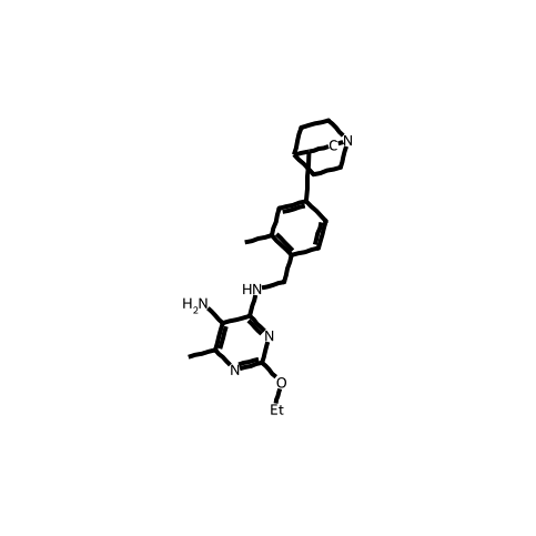 CCOc1nc(C)c(N)c(NCc2ccc(C3CN4CCC3CC4)cc2C)n1